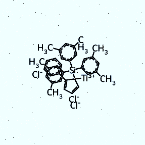 Cc1cc(C)cc([Si](c2cc(C)cc(C)c2)(c2cc(C)cc(C)c2)[C]2([Ti+3])C=CC=C2c2ccccc2)c1.[Cl-].[Cl-].[Cl-]